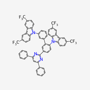 FC(F)(F)c1ccc2c(c1)c1cc(C(F)(F)F)ccc1n2-c1cccc(-c2cc(-c3nc(-c4ccccc4)cc(-c4ccccc4)n3)ccc2-n2c3ccc(C(F)(F)F)cc3c3cc(C(F)(F)F)ccc32)c1